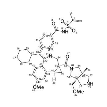 C=C(C)S(=O)(=O)NC(=O)c1ccc2c(C3CCCCC3)c3n(c2c1)C[C@@]1(C(=O)N2C[C@]4(C)CNC[C@]4(COC)C2)C[C@H]1c1cc(OC)ccc1-3